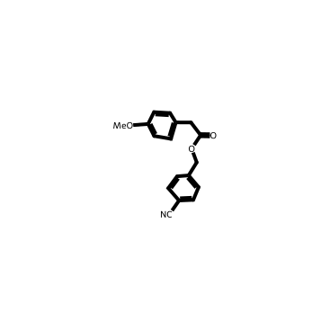 COc1ccc(CC(=O)OCc2ccc(C#N)cc2)cc1